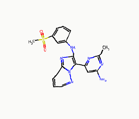 Cc1nc(N)cc(-c2c(Nc3cccc(S(C)(=O)=O)c3)nc3cccnn23)n1